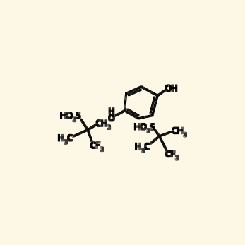 CC(C)(C(F)(F)F)S(=O)(=O)O.CC(C)(C(F)(F)F)S(=O)(=O)O.Oc1ccc(O)cc1